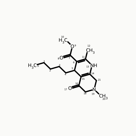 CCCCCC1C(C(=O)OC)=C(C)NC2=C1C(=O)CN(C)C2